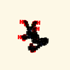 CC1(C)C(/C=C/C2=C(Oc3ccc(SOOO)cc3)C(=C/C=C3/N(CCCCCC(=O)ON4C(=O)CCC4=O)c4ccc5ccccc5c4C3(C)C)/CCC2)=[N+](CCCS(=O)(=O)O)c2ccc(N(CCCSOOO)CCCSOOO)cc21